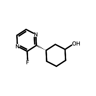 OC1CCC[C@H](c2nccnc2F)C1